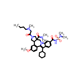 CCCCN(C)CC(=O)N1CC2c3cc(OC)ccc3-c3c(C4CCCCC4)c4ccc(C(=O)NS(=O)(=O)N(C)C)cc4n3CC2(C(=O)N(C)C)C1